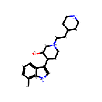 Cc1cccc2c(C3CCN(CCC4CCNCC4)CC3O)c[nH]c12